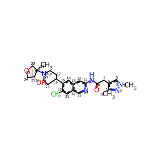 Cc1nn(C)cc1CC(=O)Nc1cc2cc(C3CCN([C@@]4(C)COC[C@H]4O)CC3)c(Cl)cc2cn1